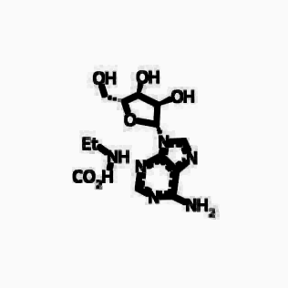 CCNC(=O)O.Nc1ncnc2c1ncn2[C@@H]1O[C@H](CO)[C@@H](O)[C@H]1O